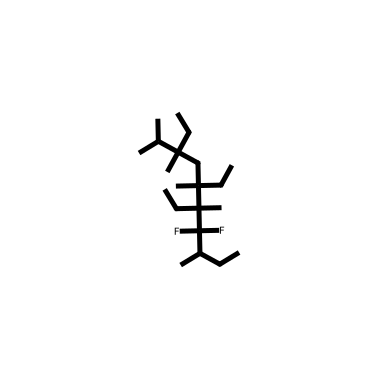 CCC(C)C(F)(F)C(C)(CC)C(C)(CC)CC(C)(CC)C(C)C